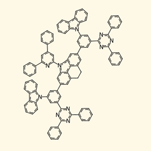 c1ccc(-c2cc(-c3ccccc3)nc(-n3c4cc(-c5cc(-c6nc(-c7ccccc7)nc(-c7ccccc7)n6)cc(-n6c7ccccc7c7ccccc76)c5)cc5c4c4c(cc(-c6cc(-c7nc(-c8ccccc8)nc(-c8ccccc8)n7)cc(-n7c8ccccc8c8ccccc87)c6)cc43)CC5)c2)cc1